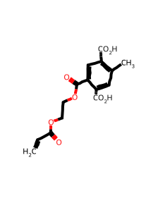 C=CC(=O)OCCOC(=O)c1cc(C(=O)O)c(C)cc1C(=O)O